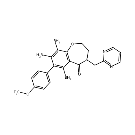 Bc1c(B)c(-c2ccc(OC(F)(F)F)cc2)c(B)c2c1OCCN(Cc1ncccn1)C2=O